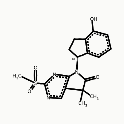 CC1(C)C(=O)N([C@H]2CCc3c(O)cccc32)c2nc(S(C)(=O)=O)ncc21